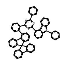 c1ccc(-c2nc(-c3ccccc3-c3cccc4c3-c3ccccc3C43c4ccccc4-c4ccccc43)nc(-c3cccc4c3c3ccccc3n4-c3ccccc3)n2)cc1